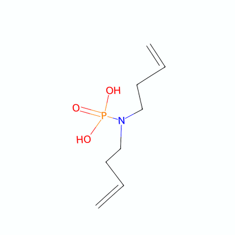 C=CCCN(CCC=C)P(=O)(O)O